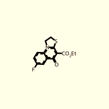 CCOC(=O)c1c2n(c3ccc(F)cc3c1=O)CCS2